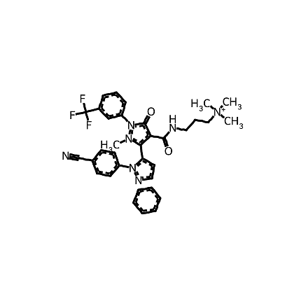 Cn1c(-c2ccnn2-c2ccc(C#N)cc2)c(C(=O)NCCC[N+](C)(C)C)c(=O)n1-c1cccc(C(F)(F)F)c1.c1ccccc1